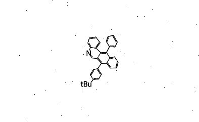 CC(C)(C)c1ccc(-c2c3ccccc3c(-c3ccccc3)c3c2cnc2ccccc23)cc1